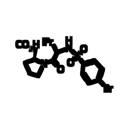 CC(C)C(NS(=O)(=O)c1ccc(Br)cc1)C(=O)N1CCC[C@H]1C(=O)O